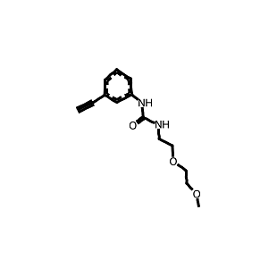 C#Cc1cccc(NC(=O)NCCOCCOC)c1